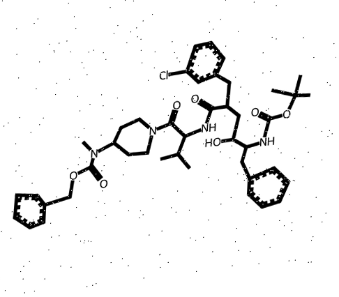 CC(C)C(NC(=O)C(Cc1cccc(Cl)c1)CC(O)C(Cc1ccccc1)NC(=O)OC(C)(C)C)C(=O)N1CCC(N(C)C(=O)OCc2ccccc2)CC1